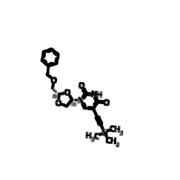 C[Si](C)(C)C#Cc1cn([C@@H]2CO[C@H](COCc3ccccc3)O2)c(=O)[nH]c1=O